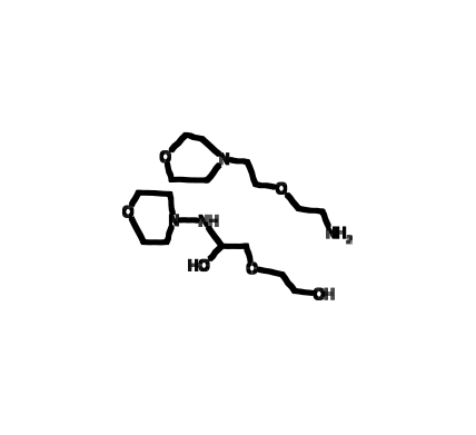 NCCOCCN1CCOCC1.OCCOCC(O)NN1CCOCC1